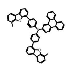 Cc1cccc2c1oc1c(-c3c#cc(N(c4ccc(-c5cccc6c5oc5c(C)cccc56)cc4)c4ccc5c6ccccc6c6ccccc6c5c4)cc3)cccc12